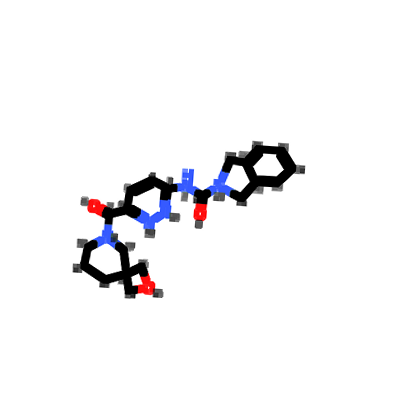 O=C(Nc1ccc(C(=O)N2CCCC3(COC3)C2)nn1)N1Cc2ccccc2C1